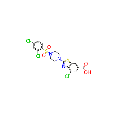 O=C(O)c1cc(Cl)c2nc(N3CCN(S(=O)(=O)c4ccc(Cl)cc4Cl)CC3)sc2c1